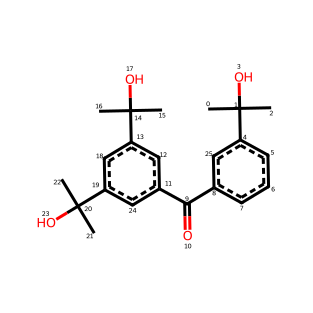 CC(C)(O)c1cccc(C(=O)c2cc(C(C)(C)O)cc(C(C)(C)O)c2)c1